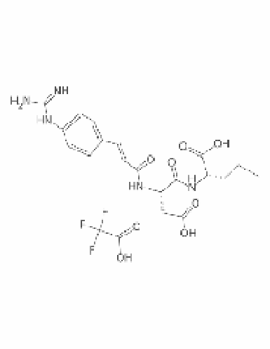 CCC[C@H](NC(=O)[C@H](CC(=O)O)NC(=O)C=Cc1ccc(NC(=N)N)cc1)C(=O)O.O=C(O)C(F)(F)F